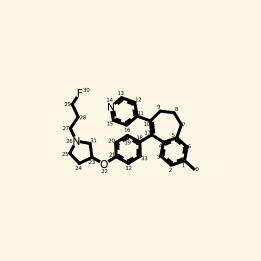 Cc1ccc2c(c1)CCCC(c1ccncc1)=C2c1ccc(OC2CCN(CCCF)C2)cc1